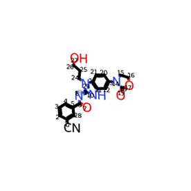 N#Cc1cccc(C(=O)/N=c2\[nH]c3cc(N4CCOC4=O)ccc3n2CCCO)c1